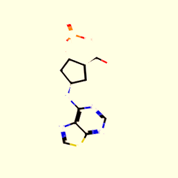 O=[PH](O)O[C@H]1C[C@H](Nc2ncnc3scnc23)C[C@@H]1CO